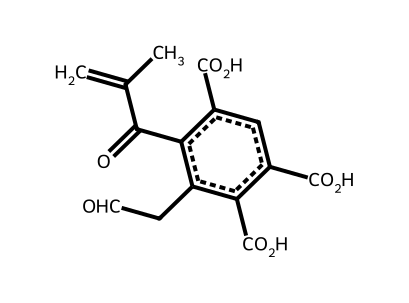 C=C(C)C(=O)c1c(C(=O)O)cc(C(=O)O)c(C(=O)O)c1CC=O